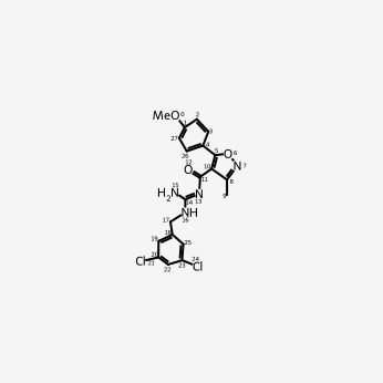 COc1ccc(-c2onc(C)c2C(=O)/N=C(\N)NCc2cc(Cl)cc(Cl)c2)cc1